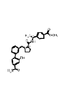 COC(=O)c1ccc([C@H](C)NC(=O)[C@H]2CCCN2Cc2cccc(-c3ccc(C(N)=O)cc3O)c2)cc1